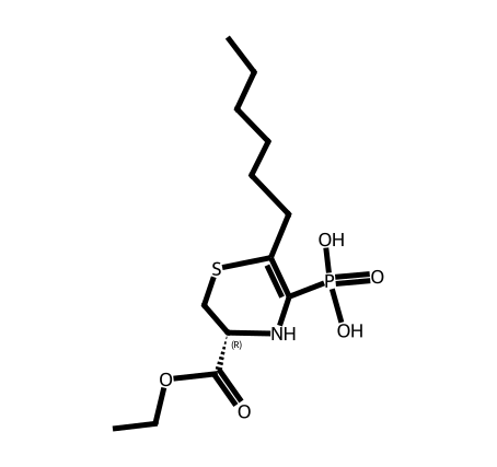 CCCCCCC1=C(P(=O)(O)O)N[C@H](C(=O)OCC)CS1